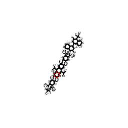 Cc1cc(-c2cc(C)c(C(C)(C)C)c3ccccc23)c2ccccc2c1-n1c(=O)c2cc3oc4cc5c(cc4oc3cc2c1=O)C1(C(C)C)c2ccccc2C5(C(C)C)c2cc3oc4cc5c(=O)n(C(C)(C)C)c(=O)c5cc4oc3cc21